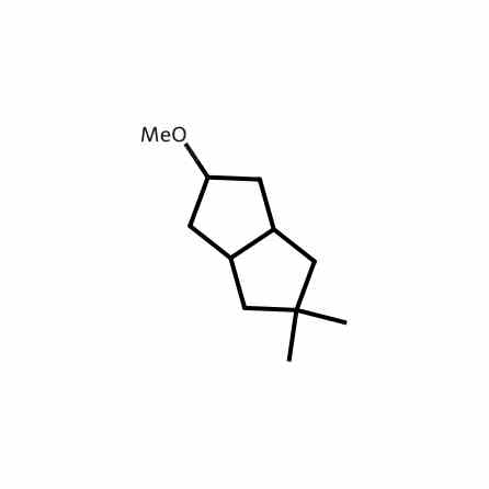 COC1CC2CC(C)(C)CC2C1